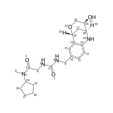 CN(C(=O)CNC(=O)NCc1ccc2c(c1)[C@H]1C[C@H](N2)[C@H](O)CO1)C1CCCC1